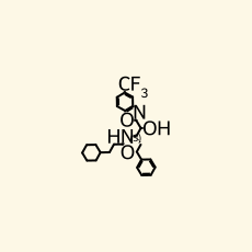 O=C(CCC1CCCCC1)N[C@@H](CCc1ccccc1)C(O)c1nc2cc(C(F)(F)F)ccc2o1